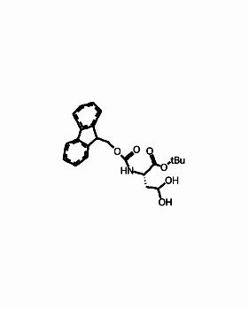 CC(C)(C)OC(=O)[C@H](CC(O)O)NC(=O)OCC1c2ccccc2-c2ccccc21